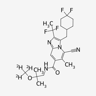 [2H]C([2H])([2H])OC(C)(C)CNC(=O)c1cc2nc(C(C)(F)F)c(CC3CCC(F)(F)CC3)n2c(C#N)c1C